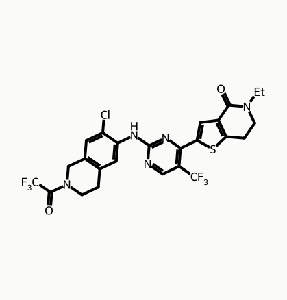 CCN1CCc2sc(-c3nc(Nc4cc5c(cc4Cl)CN(C(=O)C(F)(F)F)CC5)ncc3C(F)(F)F)cc2C1=O